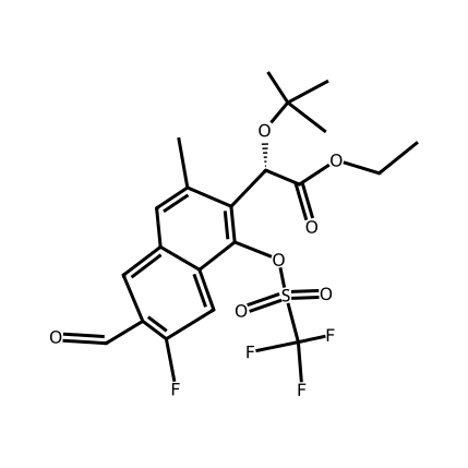 CCOC(=O)[C@@H](OC(C)(C)C)c1c(C)cc2cc(C=O)c(F)cc2c1OS(=O)(=O)C(F)(F)F